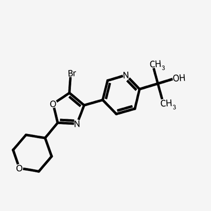 CC(C)(O)c1ccc(-c2nc(C3CCOCC3)oc2Br)cn1